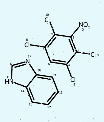 O=[N+]([O-])c1c(Cl)c(Cl)cc(Cl)c1Cl.c1ccc2[nH]cnc2c1